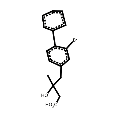 CC(O)(CC(=O)O)Cc1ccc(-c2ccccc2)c(Br)c1